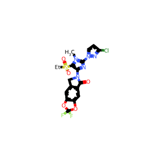 CCS(=O)(=O)c1c(N2Cc3cc4c(cc3C2=O)OC(F)(F)O4)nc(-n2ccc(Cl)n2)n1C